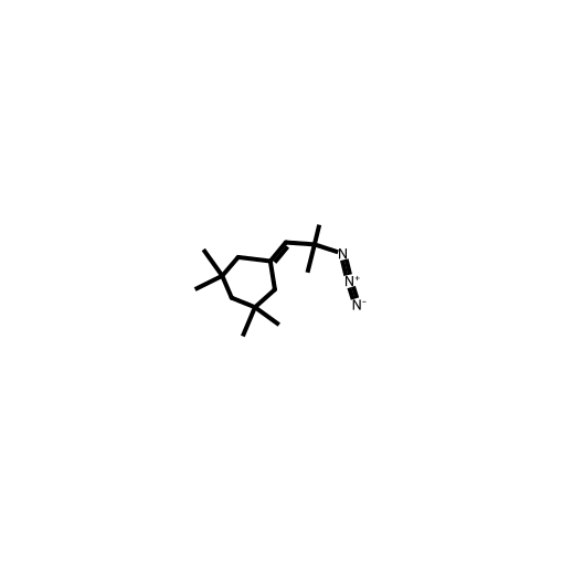 CC1(C)CC(=CC(C)(C)N=[N+]=[N-])CC(C)(C)C1